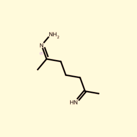 CC(=N)CCC/C(C)=N\N